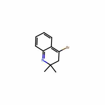 CC1(C)CC(Br)=c2ccccc2=N1